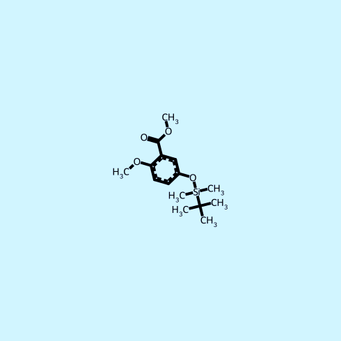 COC(=O)c1cc(O[Si](C)(C)C(C)(C)C)ccc1OC